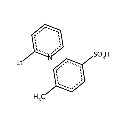 CCc1ccccn1.Cc1ccc(S(=O)(=O)O)cc1